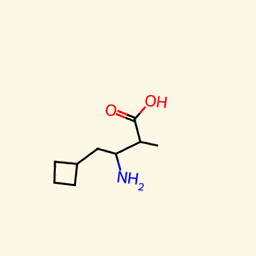 CC(C(=O)O)C(N)CC1CCC1